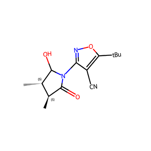 C[C@@H]1C(=O)N(c2noc(C(C)(C)C)c2C#N)C(O)[C@H]1C